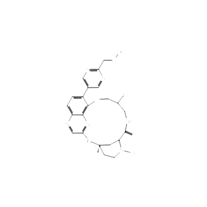 CCCOCc1ncc(-c2ccc3ncc4nc3c2OCC(I)CNC(=O)[C@@H]2C[C@H](CCN2C)N4)cn1